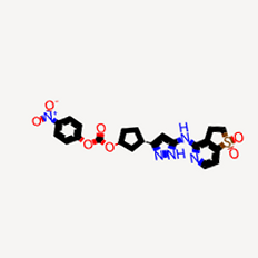 O=C(Oc1ccc([N+](=O)[O-])cc1)O[C@@H]1CC[C@H](c2cc(Nc3nccc4c3CCS4(=O)=O)[nH]n2)C1